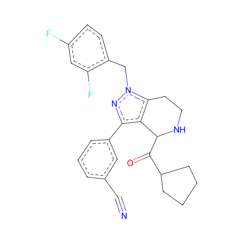 N#Cc1cccc(-c2nn(Cc3ccc(F)cc3F)c3c2C(C(=O)C2CCCC2)NCC3)c1